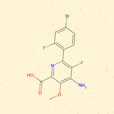 COc1c(C(=O)O)nc(-c2ccc(Br)cc2F)c(F)c1N